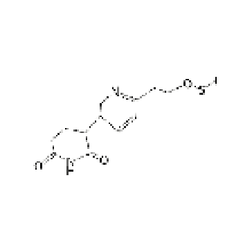 O=C1CCC(c2ccc(CCOSI)nc2)C(=O)N1